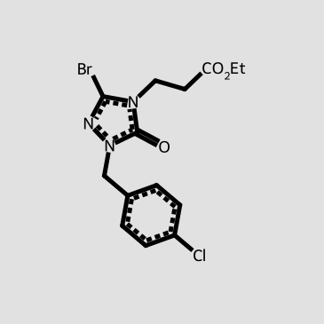 CCOC(=O)CCn1c(Br)nn(Cc2ccc(Cl)cc2)c1=O